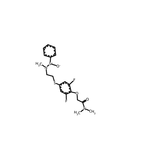 CN(C)C(=O)COc1c(F)cc(SCCN(C)[S+]([O-])c2ccccc2)cc1F